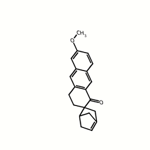 COc1ccc2cc3c(cc2c1)CCC1(CC2=CCC1C2)C3=O